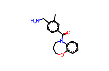 Cc1cc(C(=O)N2CCCOc3ccccc32)ccc1CN